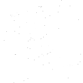 COc1cc(CCN(C)CCC[C@@](C#N)(c2ccc(Cl)c(Cl)c2)C(C)C)cc(OC)c1